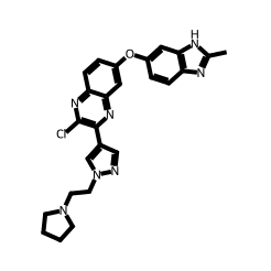 Cc1nc2ccc(Oc3ccc4nc(Cl)c(-c5cnn(CCN6CCCC6)c5)nc4c3)cc2[nH]1